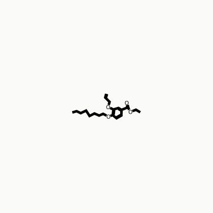 C=CCOc1cc(C(=O)OCC)ccc1OCCCCCCCC